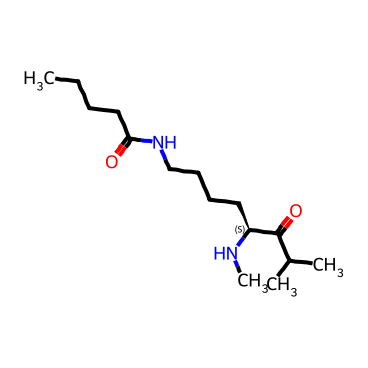 CCCCC(=O)NCCCC[C@H](NC)C(=O)C(C)C